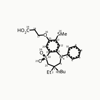 CCCC[C@]1(CC)CN(c2ccccc2)c2cc(SC)c(OCCC(=O)O)cc2S(=O)(=O)C1